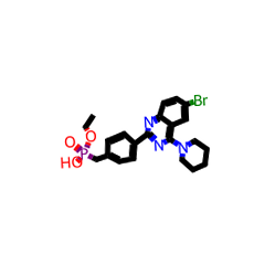 CCOP(=O)(O)Cc1ccc(-c2nc(N3CCCCC3)c3cc(Br)ccc3n2)cc1